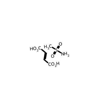 CS(N)(=O)=O.O=C(O)C=CC(=O)O